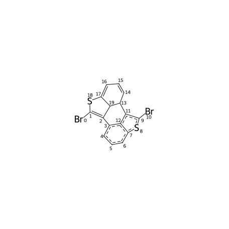 BrC1=C2c3cccc4sc(Br)c(c34)C3C=CC=C(S1)C23